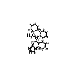 CN(c1ccccc1C1CC=CCC1)c1nc2nncn2c2ccccc12